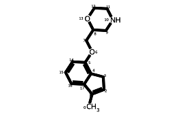 CC1=CCc2c(OCC3CNCCO3)cccc21